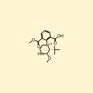 COC(=O)c1cccc(C(=O)O)c1[N+]1(C)CCN[C@H](OC)[C@H]1C(C)(C)C